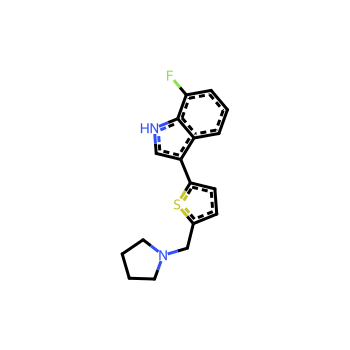 Fc1cccc2c(-c3ccc(CN4CCCC4)s3)c[nH]c12